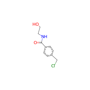 O=C(NCCO)c1ccc(CCl)cc1